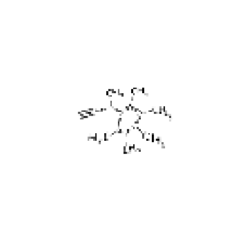 [C]#CC(C)c1c(C)c(C)c(C)c(C)c1C